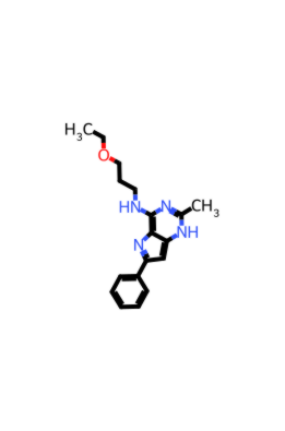 CCOCCCNc1nc(C)[nH]c2cc(-c3ccccc3)nc1-2